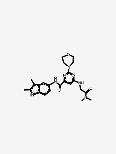 Cc1[nH]c2ccc(NC(=O)c3cc(NCC(=O)N(C)C)nc(N4CCOCC4)n3)cc2c1C